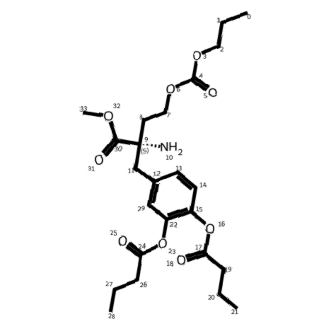 CCCOC(=O)OCC[C@@](N)(Cc1ccc(OC(=O)CCC)c(OC(=O)CCC)c1)C(=O)OC